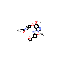 C=CC(=O)N1CC2(CC(Oc3cc4c(Nc5cc(-c6ccco6)ccc5OC)ncnc4cc3OC)C2)C1